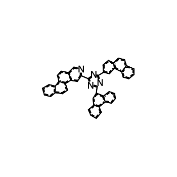 c1ccc2c(c1)ccc1ccc(-c3nc(-c4cc5c(ccc6c7ccccc7ccc56)cn4)nc(-c4cc5ccccc5c5ccccc45)n3)cc12